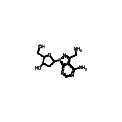 NCc1nn(C2CC(O)C(CO)O2)c2ncnc(N)c12